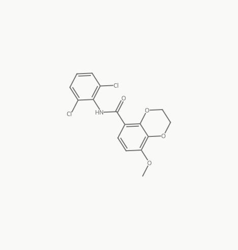 COc1ccc(C(=O)Nc2c(Cl)cccc2Cl)c2c1OCCO2